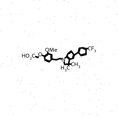 COc1cc(CCN2CC(C)(C)c3cc(-c4ccc(C(F)(F)F)cc4)ccc32)ccc1OCC(=O)O